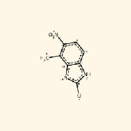 Cc1c([N+](=O)[O-])ccc2[nH]c(Cl)nc12